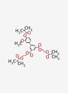 C=C(C)C(=O)OCCOC(=O)c1cc(C(=O)OCCOC(=O)C(=C)C)cc(-c2ccc(OC(=O)C(=C)C)c(OC)c2)c1